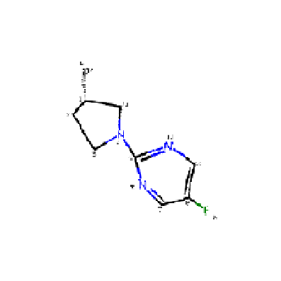 CC(C)[C@H]1CCN(c2ncc(F)cn2)C1